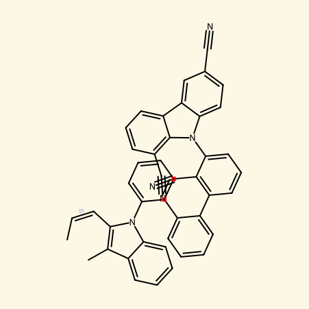 C/C=C\c1c(C)c2ccccc2n1-c1ccccc1-c1ccccc1-c1cccc(-n2c3ccc(C#N)cc3c3cccc(C#N)c32)c1C#N